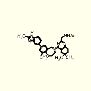 CC(=O)NCc1nc2c(c(N3CCOc4c(C)cc(-c5ccc6[nH]c(C)nc6c5)cc4C3)n1)CC(C)(C)CC2